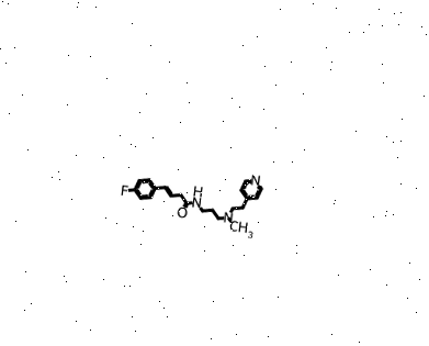 CN(CCCNC(=O)C/C=C/c1ccc(F)cc1)CCc1ccncc1